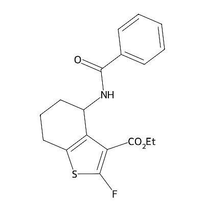 CCOC(=O)c1c(F)sc2c1C(NC(=O)c1ccccc1)CCC2